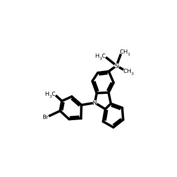 Cc1cc(-n2c3ccccc3c3cc([Si](C)(C)C)ccc32)ccc1Br